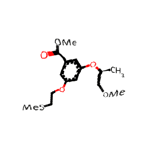 COC[C@H](C)Oc1cc(OCCSC)cc(C(=O)OC)c1